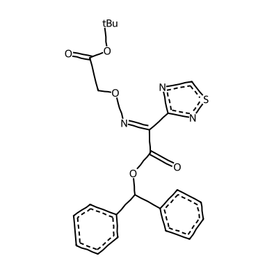 CC(C)(C)OC(=O)CON=C(C(=O)OC(c1ccccc1)c1ccccc1)c1ncsn1